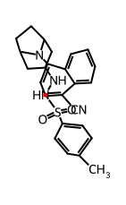 Cc1ccc(S(=O)(=O)NNC2CC3CCC(C2)N3c2ccc(C#N)c3ccccc23)cc1